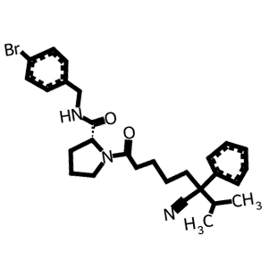 CC(C)C(C#N)(CCCCC(=O)N1CCC[C@@H]1C(=O)NCc1ccc(Br)cc1)c1ccccc1